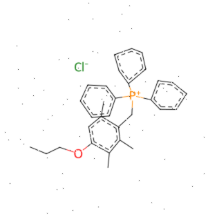 CCCOc1cc(C)c(C[P+](c2ccccc2)(c2ccccc2)c2ccccc2)c(C)c1C.[Cl-]